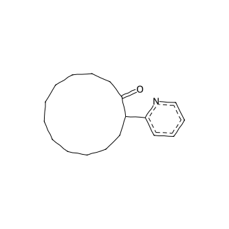 O=C1CCCCCCCCCCCC1c1ccccn1